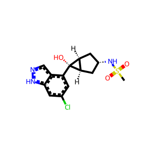 CS(=O)(=O)N[C@@H]1C[C@@H]2[C@H](C1)[C@]2(O)c1cc(Cl)cc2[nH]ncc12